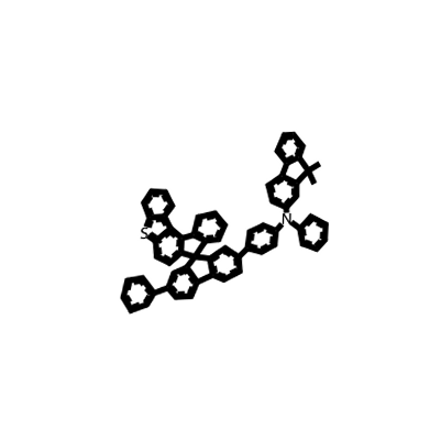 CC1(C)c2ccccc2-c2ccc(N(c3ccccc3)c3ccc(-c4ccc5c(c4)C4(c6cc(-c7ccccc7)ccc6-5)c5ccccc5-c5c4ccc4sc6ccccc6c54)cc3)cc21